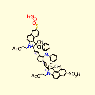 CC(=O)OCCN1/C(=C/C=C2\CCC(/C=C/C3=[N+](CCOC(C)=O)c4ccc5cc(SOOO)ccc5c4C3(C)C)=C2N(c2ccccc2)c2ccccc2)C(C)(C)c2c1ccc1cc(S(=O)(=O)O)ccc21